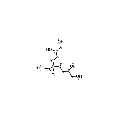 [CH2]C1OC1(OCC(O)CO)OCC(O)CO